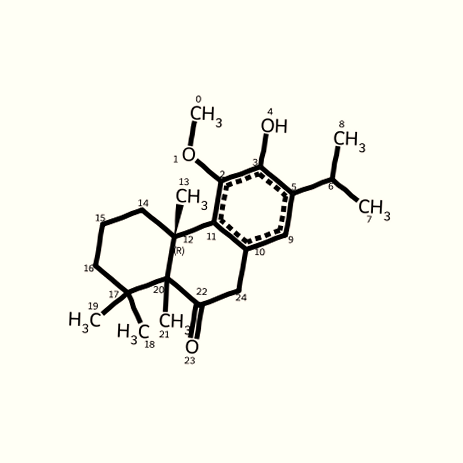 COc1c(O)c(C(C)C)cc2c1[C@@]1(C)CCCC(C)(C)C1(C)C(=O)C2